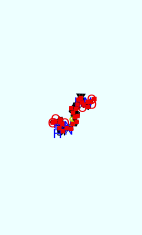 COC(=O)N[C@H](C(=O)N1CC2(CC2)C[C@H]1C1=CC2C(=C1)C=Cc1cc(-c3ccc(-c4cnc([C@@H]5C[Si](C)(C)CN5C(=O)[C@@H](NC(=O)OC)C(C)C)[nH]4)s3)ccc12)C(C)C